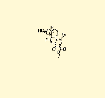 CCOC(=O)c1cn(C2CC2)c2c3c(c(F)cc2c1=O)N1C[C@@H](O)C[C@H]1CC=C3